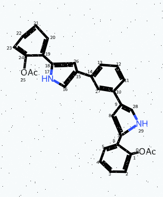 CC(=O)Oc1ccccc1-c1cc(-c2cccc(-c3c[nH]c(-c4ccccc4OC(C)=O)c3)c2)c[nH]1